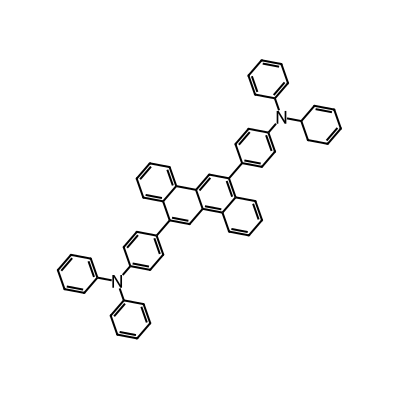 C1=CCC(N(c2ccccc2)c2ccc(-c3cc4c5ccccc5c(-c5ccc(N(c6ccccc6)c6ccccc6)cc5)cc4c4ccccc34)cc2)C=C1